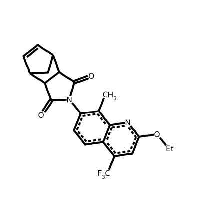 CCOc1cc(C(F)(F)F)c2ccc(N3C(=O)C4C5C=CC(C5)C4C3=O)c(C)c2n1